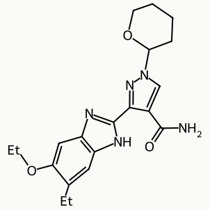 CCOc1cc2nc(-c3nn(C4CCCCO4)cc3C(N)=O)[nH]c2cc1CC